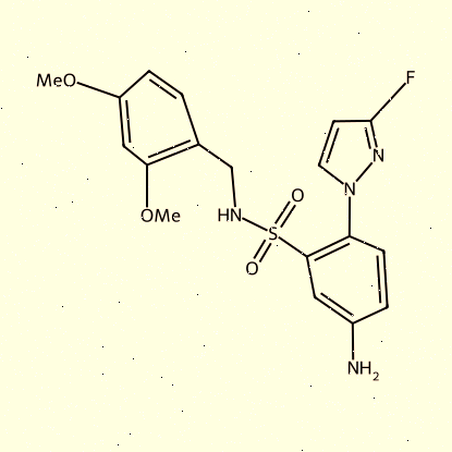 COc1ccc(CNS(=O)(=O)c2cc(N)ccc2-n2ccc(F)n2)c(OC)c1